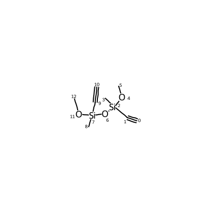 C#C[Si](C)(OC)O[Si](C)(C#C)OC